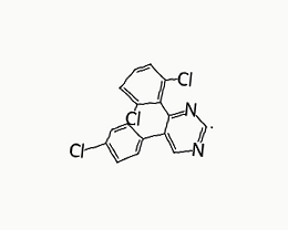 Clc1ccc(-c2cn[c]nc2-c2c(Cl)cccc2Cl)cc1